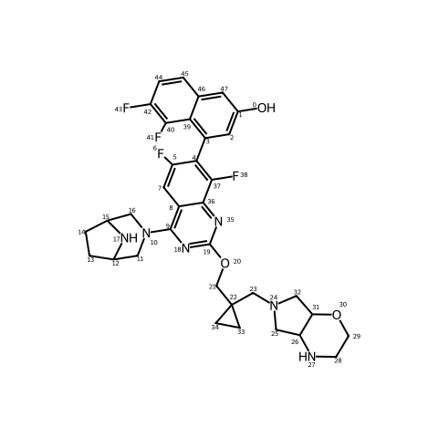 Oc1cc(-c2c(F)cc3c(N4CC5CCC(C4)N5)nc(OCC4(CN5CC6NCCOC6C5)CC4)nc3c2F)c2c(F)c(F)ccc2c1